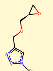 CC(C)(C)n1cc(COC[C@H]2CO2)nn1